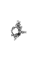 CCOC(=O)[C@@]12C[C@H]1C=CCCOCC[C@H](NC(=O)OC(C)(C)C)C(=O)N1C[C@H](O)C[C@H]1C(=O)N2